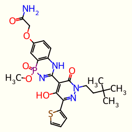 COP1(=O)N=C(c2c(O)c(-c3cccs3)nn(CCC(C)(C)C)c2=O)Nc2ccc(OCC(N)=O)cc21